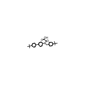 CC(C)(C)c1ccc(CN(C(=O)C(=O)O)c2ccc(-c3ccc(C(C)(C)C)cc3)cc2)cc1